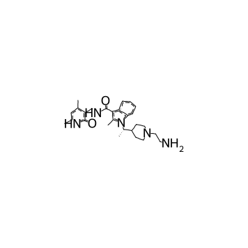 Cc1cc(C)c(CNC(=O)c2c(C)n([C@@H](C)C3CCN(CCN)CC3)c3ccccc23)c(=O)[nH]1